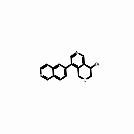 OC1COCc2c(-c3ccc4cnccc4c3)cncc21